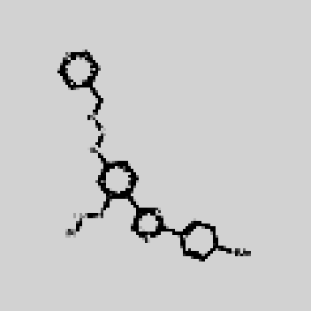 CNC1C=CC(c2ncc(-c3ccc(NONCc4ccncc4)cc3SNC(C)(C)C)s2)=CC1